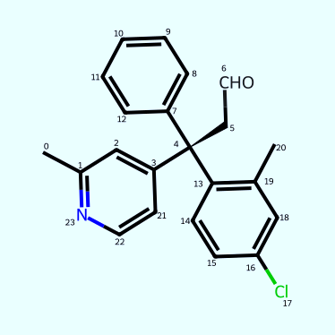 Cc1cc([C@](CC=O)(c2ccccc2)c2ccc(Cl)cc2C)ccn1